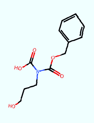 O=C(O)N(CCCO)C(=O)OCc1ccccc1